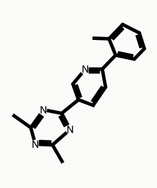 Cc1nc(C)nc(-c2ccc(-c3ccccc3C)nc2)n1